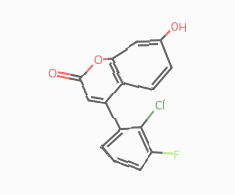 O=c1cc(-c2cccc(F)c2Cl)c2ccc(O)cc2o1